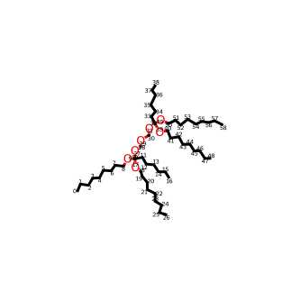 CCCCCCCCCOC(CCCCCC)(OCCCCCCCCC)OCOCOC(CCCCCC)(OCCCCCCCCC)OCCCCCCCCC